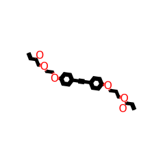 C=CC(=O)COCCOc1ccc(C#Cc2ccc(OCCCOC(=O)C=C)cc2)cc1